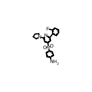 Nc1ccc(S(=O)(=O)c2cc(-c3ccccc3F)nc(N3CCCC3)c2)cc1